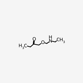 CCNCOCC(=O)CC